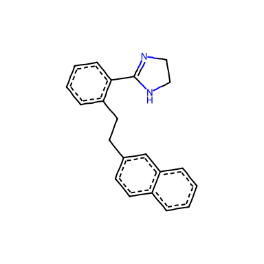 c1ccc(C2=NCCN2)c(CCc2ccc3ccccc3c2)c1